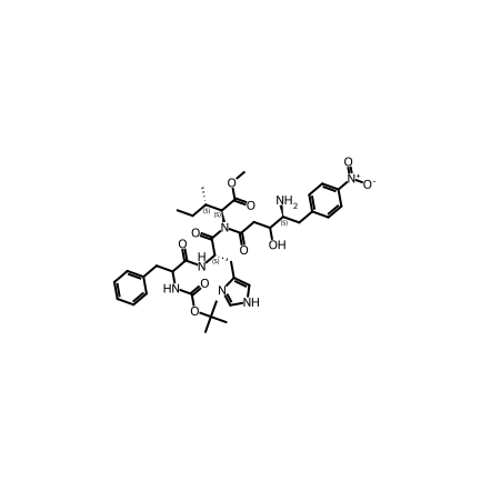 CC[C@H](C)[C@@H](C(=O)OC)N(C(=O)CC(O)[C@@H](N)Cc1ccc([N+](=O)[O-])cc1)C(=O)[C@H](Cc1c[nH]cn1)NC(=O)C(Cc1ccccc1)NC(=O)OC(C)(C)C